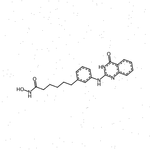 O=C(CCCCCc1cccc(Nc2nc3ccccc3c(=O)[nH]2)c1)NO